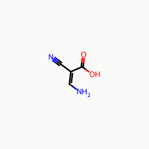 N#CC(=CN)C(=O)O